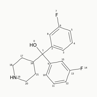 OC(c1cccc(F)c1)(c1cccc(F)c1)C1CCNCC1